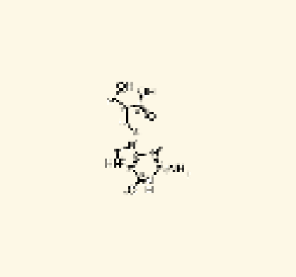 Nc1nc2c(c(=O)[nH]1)NCN2CCC(CO)C(=O)O